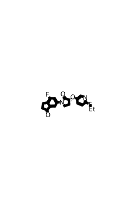 CCSc1ccc(O[C@@H]2CCN(c3cc(F)c4c(c3)C(=O)CC4)C2=O)cn1